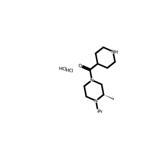 CC(C)N1CCN(C(=O)C2CCNCC2)C[C@@H]1C.Cl.Cl